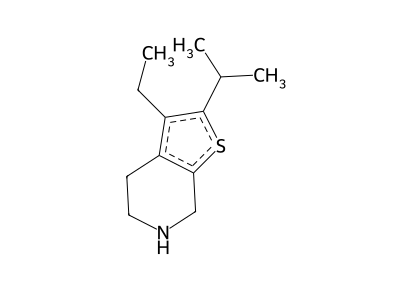 CCc1c(C(C)C)sc2c1CCNC2